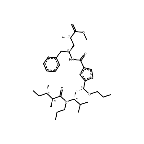 C=C(OC)[C@@H](C)C[C@H](Cc1ccccc1)NC(=O)c1csc([C@@H](C[C@H](C(C)C)N(CCC)C(=O)[C@@H](C)[C@@H](C)CC)OCCC)n1